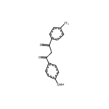 COc1ccc(C(=O)CC(=O)c2ccc(C(F)(F)F)cc2)cc1